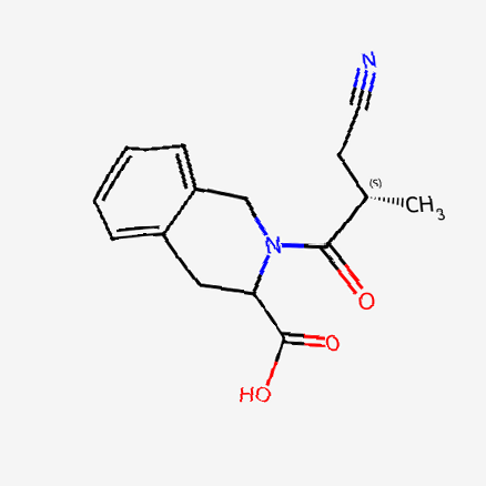 C[C@@H](CC#N)C(=O)N1Cc2ccccc2CC1C(=O)O